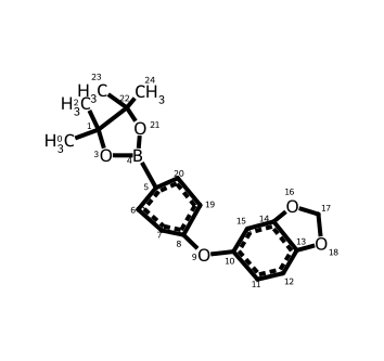 CC1(C)OB(c2ccc(Oc3ccc4c(c3)OCO4)cc2)OC1(C)C